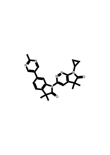 Cc1ncc(-c2ccc3c(c2)N(c2cc4c(nn2)N(C2CC2)C(=O)C4(C)C)C(=O)C3(C)C)cn1